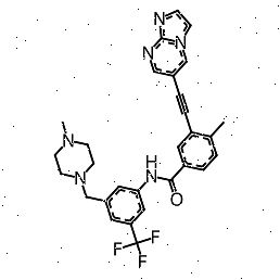 Cc1ccc(C(=O)Nc2cc(CN3CCN(C)CC3)cc(C(F)(F)F)c2)cc1C#Cc1cnc2nccn2c1